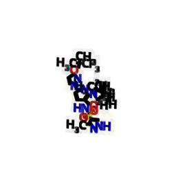 [2H]C([2H])([2H])[C@@H]1CN(c2nc(-n3ccc(OCC(C)(C)C(F)(F)F)n3)ccc2C(=O)NS(=O)(=O)c2c[nH]nc2C)C(C)(C)C1([2H])[2H]